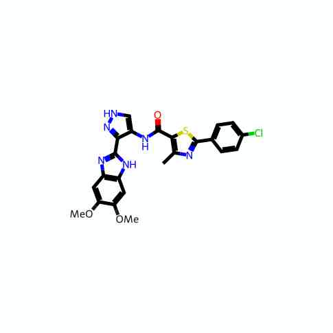 COc1cc2nc(-c3n[nH]cc3NC(=O)c3sc(-c4ccc(Cl)cc4)nc3C)[nH]c2cc1OC